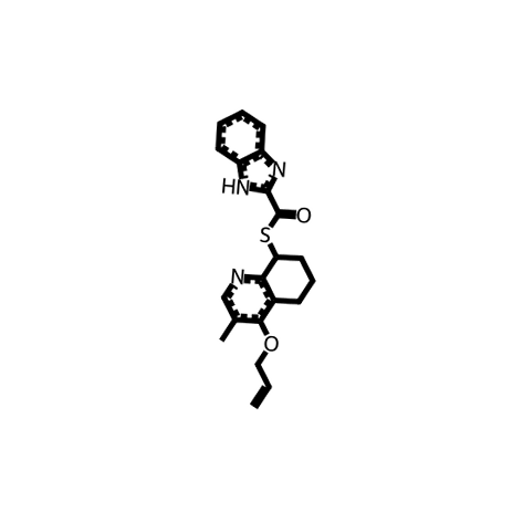 C=CCOc1c(C)cnc2c1CCCC2SC(=O)c1nc2ccccc2[nH]1